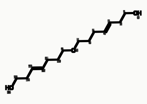 OCCC=CCCCOCCCC=CCCO